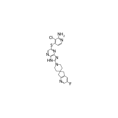 Nc1nccc(Sc2cnc3[nH]c(N4CCC5(CC4)Cc4cc(F)cnc4C5)nc3n2)c1Cl